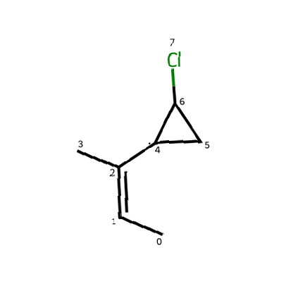 C/C=C(/C)[C]1CC1Cl